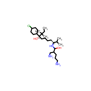 CCC(C)(C)[C@@](O)(CCCC[C@H](NC(O)C(CN)CCCN)C(C)C)C1CCC(Cl)CC1